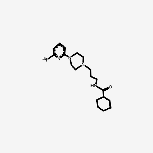 O=C(NCCCN1CCN(c2cccc([18F])n2)CC1)C1CCCCC1